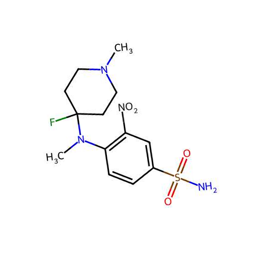 CN1CCC(F)(N(C)c2ccc(S(N)(=O)=O)cc2[N+](=O)[O-])CC1